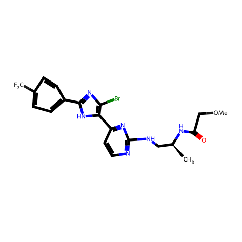 COCC(=O)N[C@@H](C)CNc1nccc(-c2[nH]c(-c3ccc(C(F)(F)F)cc3)nc2Br)n1